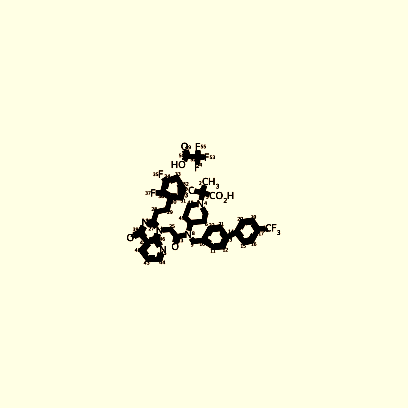 CC(C)(C(=O)O)N1CCC(N(Cc2ccc(-c3ccc(C(F)(F)F)cc3)cc2)C(=O)Cn2c(CCc3cccc(F)c3F)nc(=O)c3cccnc32)CC1.O=C(O)C(F)(F)F